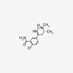 C[C@H](CC(=N)c1ccc(Cl)c(C(N)=O)c1)N(C)C